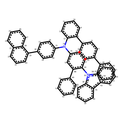 c1ccc(-c2ccc(-c3ccccc3N(c3ccc(-c4cccc5ccccc45)cc3)c3ccc(-n4c5ccccc5c5ccccc54)c(-c4ccccc4)c3)cc2)cc1